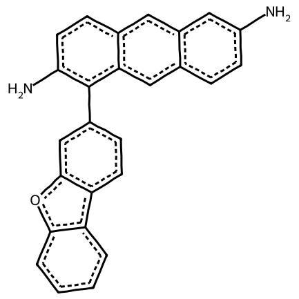 Nc1ccc2cc3c(-c4ccc5c(c4)oc4ccccc45)c(N)ccc3cc2c1